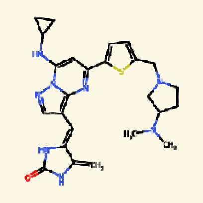 C=c1[nH]c(=O)[nH]/c1=C\c1cnn2c(NC3CC3)cc(-c3ccc(CN4CCC(N(C)C)C4)s3)nc12